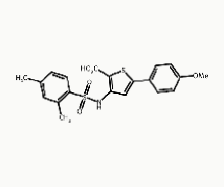 COc1ccc(-c2cc(NS(=O)(=O)c3ccc(C)cc3C)c(C(=O)O)s2)cc1